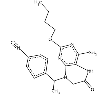 [C-]#[N+]c1ccc(C(C)N2CC(=O)Nc3c(N)nc(OCCCC)nc32)cc1